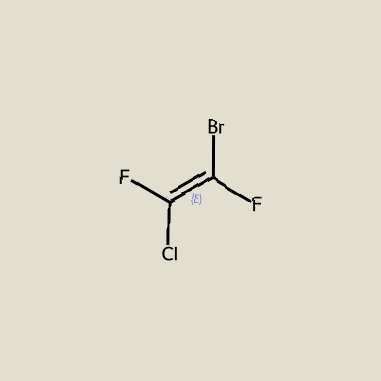 F/C(Cl)=C(/F)Br